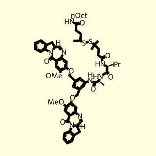 CCCCCCCCNC(=O)CCC(C)SSC(C)(C)CCC(=O)N[C@H](C(=O)N[C@@H](C)C(=O)Nc1cc(COc2cc3c(cc2OC)C(=O)N2c4ccccc4C[C@H]2C=N3)cc(COc2cc3c(cc2OC)C(=O)N2c4ccccc4C[C@H]2C=N3)c1)C(C)C